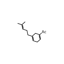 CC(=O)C1=CCC=C(CCC=C(C)C)C1